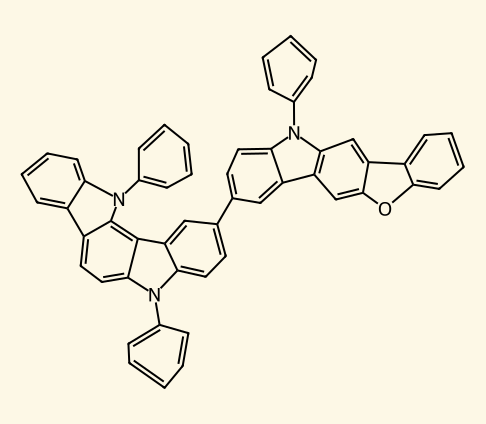 c1ccc(-n2c3ccc(-c4ccc5c(c4)c4c(ccc6c7ccccc7n(-c7ccccc7)c64)n5-c4ccccc4)cc3c3cc4oc5ccccc5c4cc32)cc1